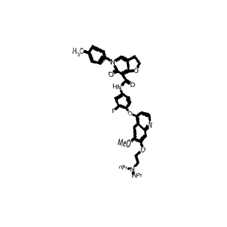 CCCN(CCC)CCOc1cc2nccc(Oc3ccc(NC(=O)c4c5c(cn(-c6ccc(C)cc6)c4=O)CCO5)cc3F)c2cc1OC